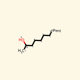 CCCCCCCCCC[C](C)O